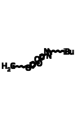 C=CCCCCCOc1ccc(C(=O)Oc2ccc(-c3ncc(CCCCCC(C)CC)cn3)cc2)cc1